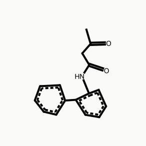 CC(=O)CC(=O)Nc1ccccc1-c1ccccc1